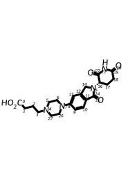 O=C(O)CCCN1CCN(c2ccc3c(c2)CN([C@H]2CCC(=O)NC2=O)C3=O)CC1